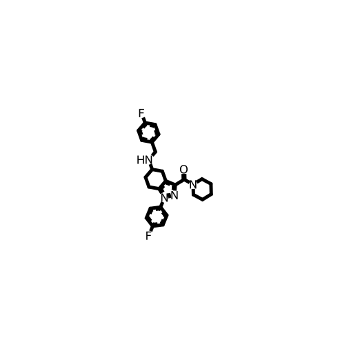 O=C(c1nn(-c2ccc(F)cc2)c2c1CC(NCc1ccc(F)cc1)CC2)N1CCCCC1